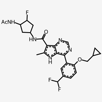 CC(=O)NC1CC(NC(=O)c2c(C)[nH]c3c(-c4cc(C(F)F)ccc4OCC4CC4)ncnc23)CC1F